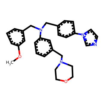 COc1cccc(CN(Cc2ccc(-n3ccnc3)cc2)c2cccc(CN3CCOCC3)c2)c1